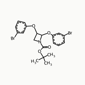 CC(C)(C)OC(=O)N1CC(Oc2cccc(Br)c2)C1Oc1cccc(Br)c1